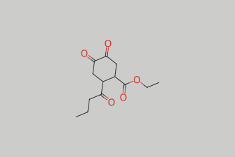 CCCC(=O)C1CC(=O)C(=O)CC1C(=O)OCC